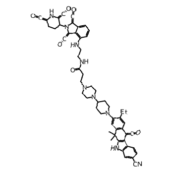 CCc1cc2c(cc1N1CCC(N3CCN(CCC(=O)NCCNc4cccc5c(=C=O)n(C6CCC(=C=O)NC6=C=O)c(=C=O)c45)CC3)CC1)C(C)(C)c1[nH]c3cc(C#N)ccc3c1C2=C=O